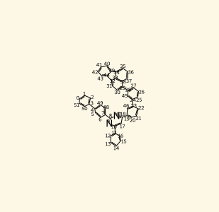 c1ccc(-c2ccc(-c3nc(-c4ccccc4)cc(-c4cccc(-c5cccc(-c6ccc7c8c(cccc68)-c6ccccc6-7)c5)c4)n3)cc2)cc1